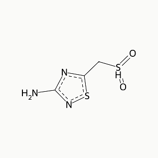 Nc1nsc(C[SH](=O)=O)n1